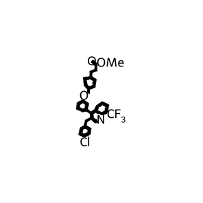 COC(=O)CCc1ccc(COc2cccc(-c3c(Cc4ccc(Cl)cc4)cnc4c(C(F)(F)F)cccc34)c2)cc1